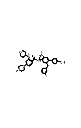 CN1CCN(c2ccc(C(=O)Nc3n[nH]c4cc(-c5ccc(O)cc5)c(Cc5cccc(F)c5)cc34)c(NC3CCOCC3)c2)CC1